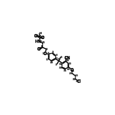 CC(C)(c1ccc(OCC(=O)CNS(C)(=O)=O)cc1)c1ccc(OCCCCl)cc1C#N